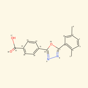 Cc1ccc(C)c(-c2nnc(-c3ccc(C(=O)O)cc3)o2)c1